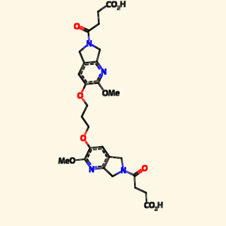 COc1nc2c(cc1OCCCOc1cc3c(nc1OC)CN(C(=O)CCC(=O)O)C3)CN(C(=O)CCC(=O)O)C2